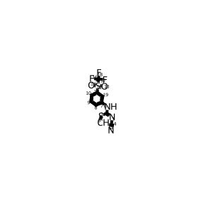 CS/C(=N\C#N)Nc1cccc(S(=O)(=O)C(F)(F)F)c1